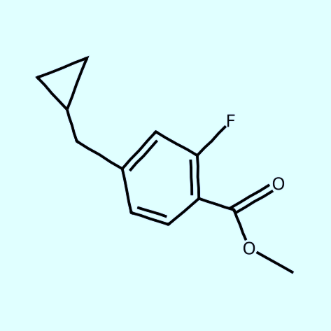 COC(=O)c1ccc(CC2CC2)cc1F